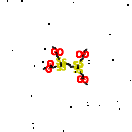 CCOC(=O)CCSC1=C(SCCC(=O)OCC)SC(=CC=C2SC(SCCC(=O)OCC)=C(SCCC(=O)OCC)S2)S1